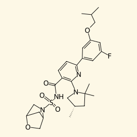 CC(C)COc1cc(F)cc(-c2ccc(C(=O)NS(=O)(=O)N3CC4CC3CO4)c(N3C[C@@H](C)CC3(C)C)n2)c1